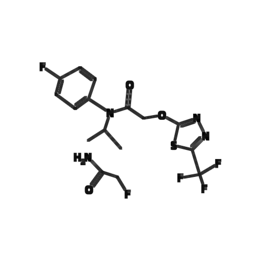 CC(C)N(C(=O)COc1nnc(C(F)(F)F)s1)c1ccc(F)cc1.NC(=O)CF